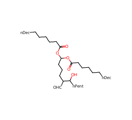 CCCCCCCCCCCCCCCC(=O)OC(CCCC(C=O)C(O)CCCCC)OC(=O)CCCCCCCCCCCCCCC